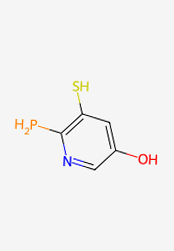 Oc1cnc(P)c(S)c1